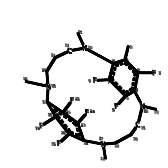 Cc1c(F)c2c(F)c(F)c1N(C)CCCN(C)c1c(F)c(F)c(c(F)c1F)N(C)CCCN2C